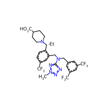 CC[C@H](c1ccc(C(F)(F)F)cc1CN(Cc1cc(C(F)(F)F)cc(C(F)(F)F)c1)c1nnn(C)n1)N1CCC(C(=O)O)CC1